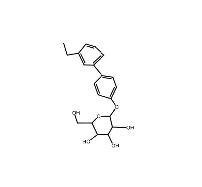 CCc1cccc(-c2ccc(OC3OC(CO)C(O)C(O)C3O)cc2)c1